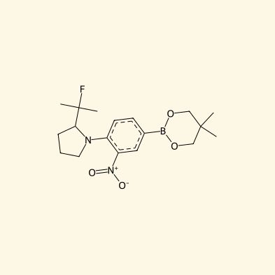 CC1(C)COB(c2ccc(N3CCCC3C(C)(C)F)c([N+](=O)[O-])c2)OC1